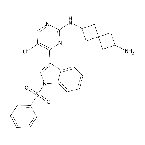 NC1CC2(C1)CC(Nc1ncc(Cl)c(-c3cn(S(=O)(=O)c4ccccc4)c4ccccc34)n1)C2